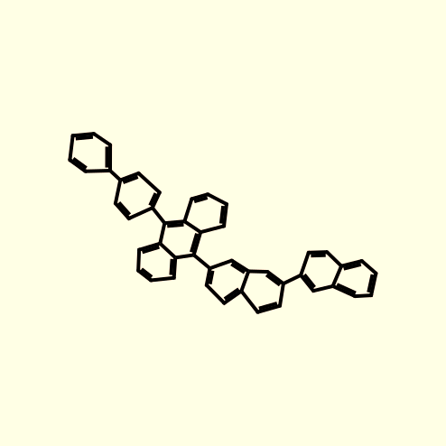 c1ccc(-c2ccc(-c3c4ccccc4c(-c4ccc5ccc(-c6ccc7ccccc7c6)cc5c4)c4ccccc34)cc2)cc1